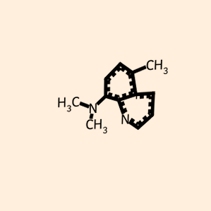 Cc1ccc(N(C)C)c2ncccc12